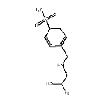 CCC(O)CNCc1ccc(S(C)(=O)=O)cc1